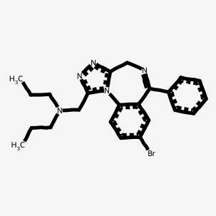 CCCN(CCC)Cc1nnc2n1-c1ccc(Br)cc1C(c1ccccc1)=NC2